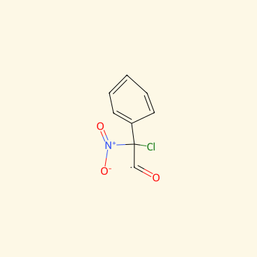 O=[C]C(Cl)(c1ccccc1)[N+](=O)[O-]